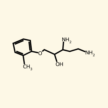 Cc1ccccc1OCC(O)C(N)CCN